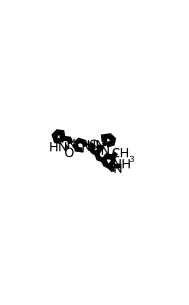 CC1=CC(CC(CC(=O)N2CCC(N3Cc4ccccc4NC3=O)CC2)c2nc3ccccc3[nH]2)=CC2C=NNC12